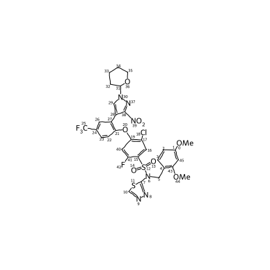 COc1ccc(CN(c2nncs2)S(=O)(=O)c2cc(Cl)c(Oc3ccc(C(F)(F)F)cc3-c3cn(C4CCCCO4)nc3[N+](=O)[O-])cc2F)c(OC)c1